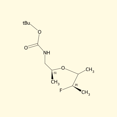 CC(O[C@@H](C)CNC(=O)OC(C)(C)C)[C@@H](C)F